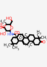 C[C@H](O)C(CO)OC(NC(=O)[C@]12CCC(C)(C)CC1C1=CCC3[C@@]4(C)CCC(=O)C(C)(C)C4CC[C@@]3(C)[C@]1(C)CC2=O)[C@H](O)CO